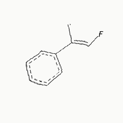 [CH2]/C(=C\F)c1ccccc1